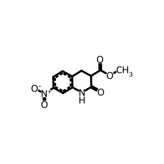 COC(=O)C1Cc2ccc([N+](=O)[O-])cc2NC1=O